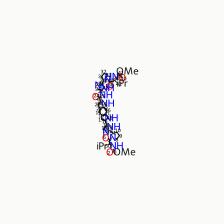 COC(=O)NC(C(=O)N1CCCC1c1ncc(-c2cc3cc4cc(C(=O)Nc5cnc(C6CCCN6C(=O)[C@@H](NC(=O)OC)C(C)C)[nH]5)[nH]c4cc3[nH]2)[nH]1)C(C)C